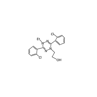 CCN1N=C(c2ccccc2Cl)N(CCO)N=C1c1ccccc1Cl